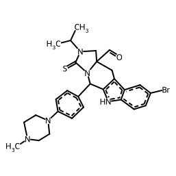 CC(C)N1CC2(C=O)Cc3c([nH]c4ccc(Br)cc34)C(c3ccc(N4CCN(C)CC4)cc3)N2C1=S